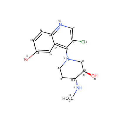 O=C(O)N[C@@H]1CCN(c2c(Cl)cnc3ccc(Br)cc23)C[C@H]1O